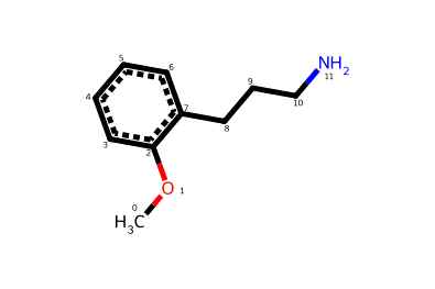 COc1ccccc1CCCN